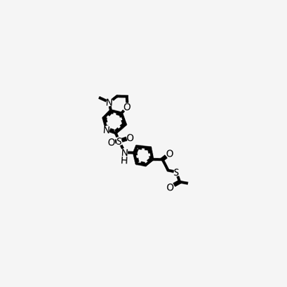 CC(=O)SCC(=O)c1ccc(NS(=O)(=O)c2cc3c(cn2)N(C)CCO3)cc1